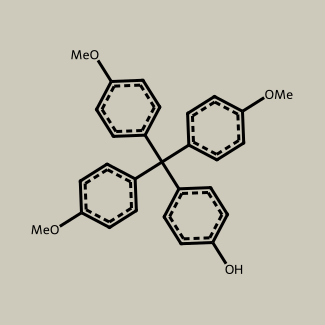 COc1ccc(C(c2ccc(O)cc2)(c2ccc(OC)cc2)c2ccc(OC)cc2)cc1